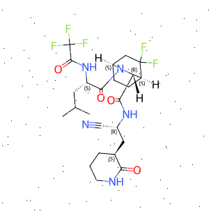 CC(C)C[C@H](NC(=O)C(F)(F)F)C(=O)N1[C@H]2CC[C@@H]([C@@H]1C(=O)N[C@@H](C#N)C[C@@H]1CCCNC1=O)C(F)(F)C2